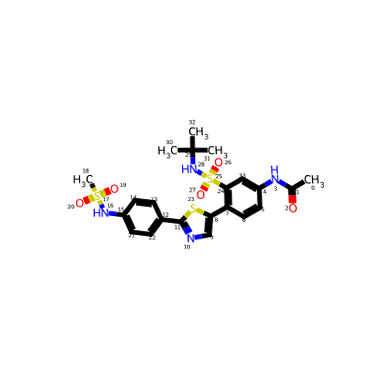 CC(=O)Nc1ccc(-c2cnc(-c3ccc(NS(C)(=O)=O)cc3)s2)c(S(=O)(=O)NC(C)(C)C)c1